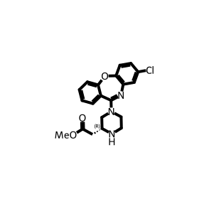 COC(=O)C[C@@H]1CN(C2=Nc3cc(Cl)ccc3Oc3ccccc32)CCN1